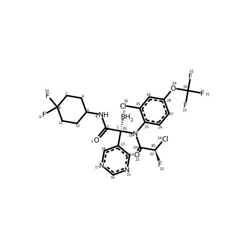 B[C@@](C(=O)NC1CCC(F)(F)CC1)(c1cncnc1)N(C(=O)[C@H](F)Cl)c1ccc(OC(F)(F)F)cc1Cl